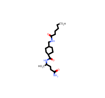 NC(=O)CCC(NC(=O)C1CCC(CNC(=O)CCCCC(=O)O)CC1)C(=O)O